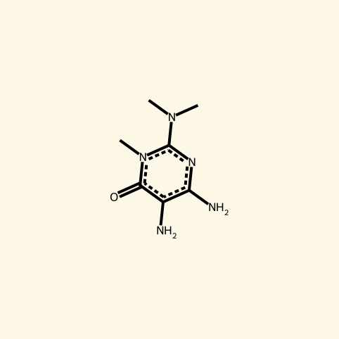 CN(C)c1nc(N)c(N)c(=O)n1C